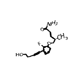 C[C@@H](CCC(N)=O)COc1cccc(C#CCCO)c1F